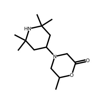 CC1CN(C2CC(C)(C)NC(C)(C)C2)CC(=O)O1